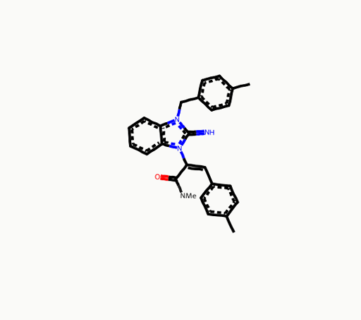 CNC(=O)/C(=C\c1ccc(C)cc1)n1c(=N)n(Cc2ccc(C)cc2)c2ccccc21